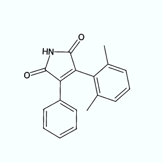 Cc1cccc(C)c1C1=C(c2ccccc2)C(=O)NC1=O